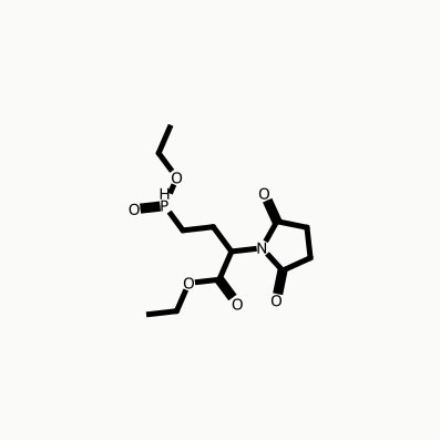 CCOC(=O)C(CC[PH](=O)OCC)N1C(=O)CCC1=O